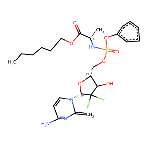 C=C1N=C(N)C=CN1[C@@H]1O[C@H](COP(=O)(N[C@@H](C)C(=O)OCCCCCC)Oc2ccccc2)C(O)C1(F)F